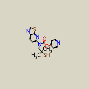 CC(C)(S)CN(C(=O)Oc1ccncc1)c1ccc2ncsc2n1